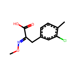 CO/N=C(\Cc1ccc(C)c(Cl)c1)C(=O)O